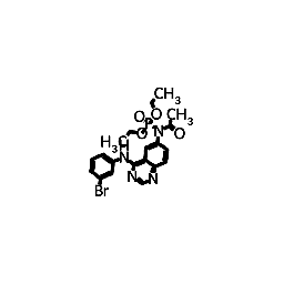 CCOP(=O)(OCC)N(C(C)=O)c1ccc2ncnc(Nc3cccc(Br)c3)c2c1